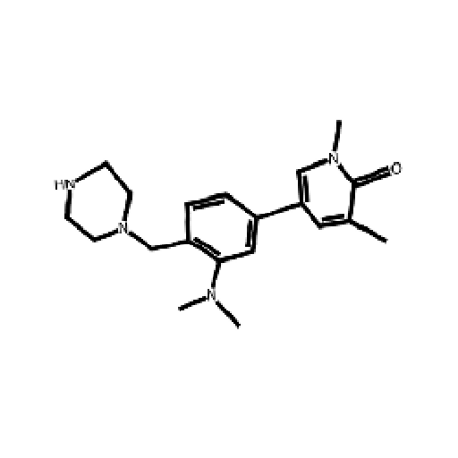 Cc1cc(-c2ccc(CN3CCNCC3)c(N(C)C)c2)cn(C)c1=O